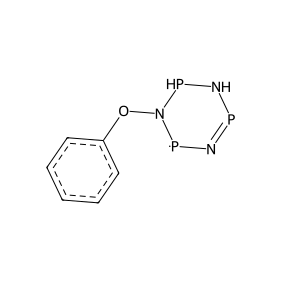 c1ccc(ON2[P]N=PNP2)cc1